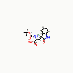 CC(C)(C)OC(=O)N[C@@H](CC1(F)C(=O)Nc2ccccc21)C(=O)O